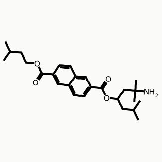 CC(C)CCOC(=O)c1ccc2cc(C(=O)OC(CC(C)C)CC(C)(C)N)ccc2c1